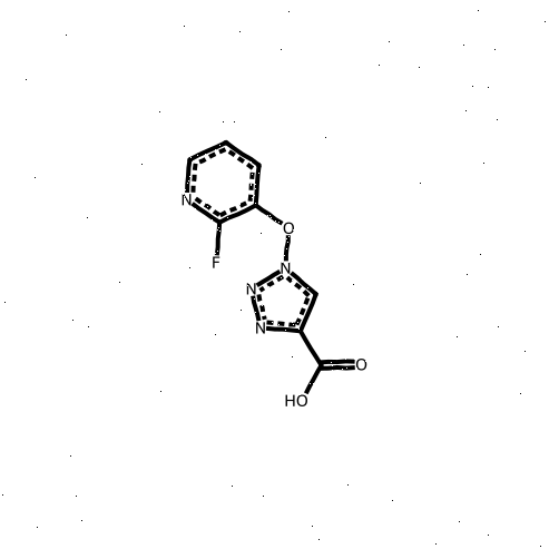 O=C(O)c1cn(Oc2cccnc2F)nn1